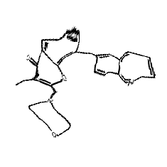 Cc1c(N2CCOCC2)oc2c(-c3ccc4ncccc4c3)cccc2c1=O